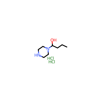 CCCC(O)N1CCNCC1.Cl.Cl